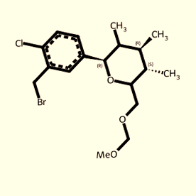 COCOCC1O[C@@H](c2ccc(Cl)c(CBr)c2)C(C)[C@@H](C)[C@@H]1C